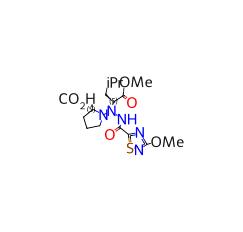 COC(=O)[C@H](CC(C)C)N(NC(=O)c1nc(OC)ns1)N1CCC[C@H]1C(=O)O